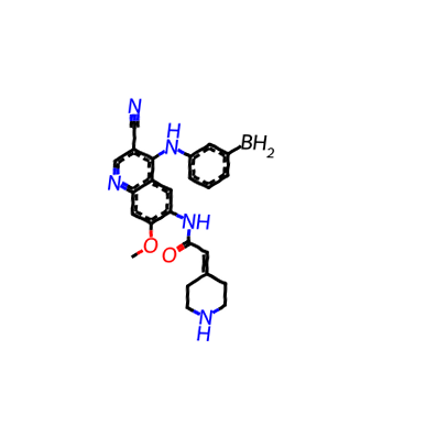 Bc1cccc(Nc2c(C#N)cnc3cc(OC)c(NC(=O)C=C4CCNCC4)cc23)c1